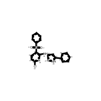 O=S(=O)(c1ccccc1)c1ccc(Cl)nc1Nc1cc(-c2ccccc2)[nH]n1